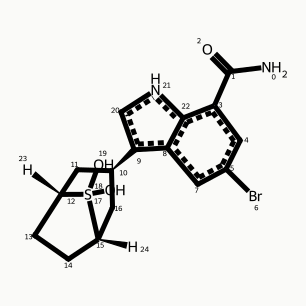 NC(=O)c1cc(Br)cc2c([C@@H]3C[C@H]4CC[C@@H](C3)S4(O)O)c[nH]c12